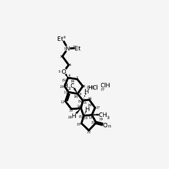 CCN(CC)CCO[C@H]1CC[C@@]2(C)C(=CC[C@@H]3[C@@H]2CC[C@]2(C)C(=O)CC[C@@H]32)C1.Cl.Cl